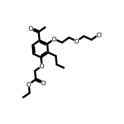 CCCc1c(OCC(=O)OCC)ccc(C(C)=O)c1OCCOCCCl